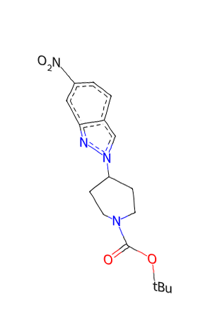 CC(C)(C)OC(=O)N1CCC(n2cc3ccc([N+](=O)[O-])cc3n2)CC1